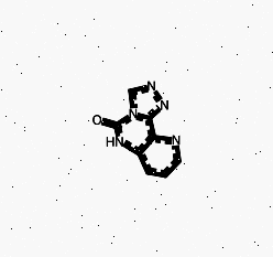 O=c1[nH]c2cccnc2c2nncn12